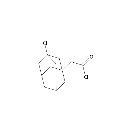 O=C(Cl)CC12CC3CC(CC(Cl)(C3)C1)C2